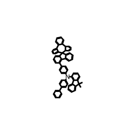 CC1(C)c2ccccc2-c2c(N(c3ccc(-c4ccccc4)cc3)c3ccc(-c4cccc5c4-c4ccccc4C54c5ccccc5-c5ccccc5C5C=CC=CC54)cc3)cccc21